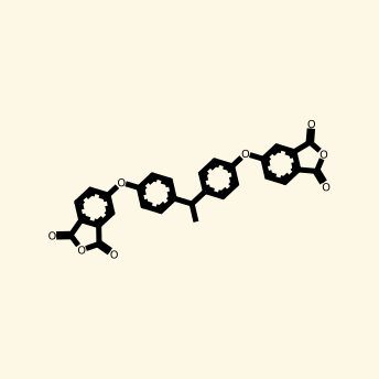 CC(c1ccc(Oc2ccc3c(c2)C(=O)OC3=O)cc1)c1ccc(Oc2ccc3c(c2)C(=O)OC3=O)cc1